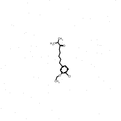 CCOc1cc(CCCCCC(=O)C(C)C)ccc1Cl